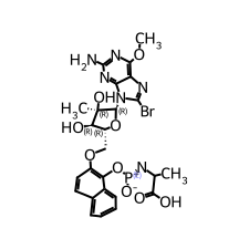 COc1nc(N)nc2c1nc(Br)n2[C@@H]1O[C@H](COc2ccc3ccccc3c2O/[P+]([O-])=N/C(C)C(=O)O)[C@@H](O)[C@@]1(C)O